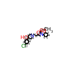 COc1ccccc1N1CC(CCN2CCC(O)(c3ccc(Cl)cc3)CC2)OC1=O